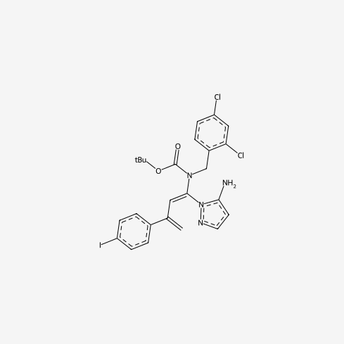 C=C(/C=C(/N(Cc1ccc(Cl)cc1Cl)C(=O)OC(C)(C)C)n1nccc1N)c1ccc(I)cc1